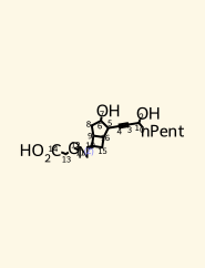 CCCCCC(O)C#CC1C(O)CC2/C(=N\OCC(=O)O)CC21